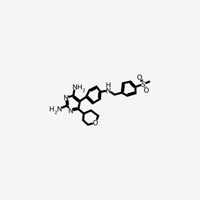 CS(=O)(=O)c1ccc(CNc2ccc(-c3c(N)nc(N)nc3C3CCOCC3)cc2)cc1